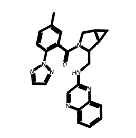 Cc1ccc(-n2nccn2)c(C(=O)N2CC3CC3C2CNc2cnc3ccccc3n2)c1